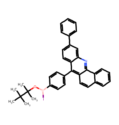 CC(C)(C)C(C)(C)OB(I)c1ccc(-c2c3ccc(-c4ccccc4)cc3nc3c2ccc2ccccc23)cc1